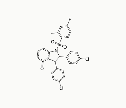 Cc1cc(F)ccc1S(=O)(=O)N1c2cccc(=O)n2C(c2ccc(Cl)cc2)C1c1ccc(Cl)cc1